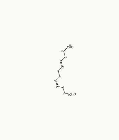 O=CCC/C=C\CC/C=C/CCC=O